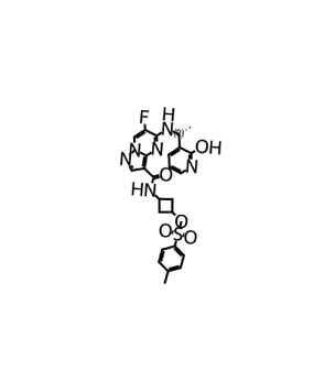 Cc1ccc(S(=O)(=O)OC2CC(NC(=O)c3cnn4cc(F)c(N[C@H](C)c5cccnc5O)nc34)C2)cc1